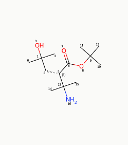 CC(C)(O)C[C@H](C(=O)OC(C)(C)C)C(C)(C)N